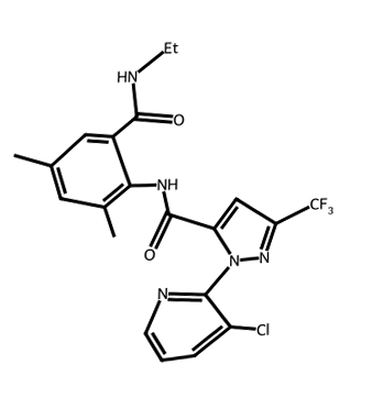 CCNC(=O)c1cc(C)cc(C)c1NC(=O)c1cc(C(F)(F)F)nn1-c1ncccc1Cl